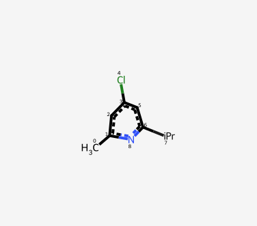 Cc1cc(Cl)cc(C(C)C)n1